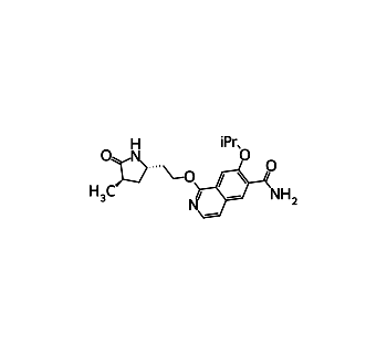 CC(C)Oc1cc2c(OCC[C@@H]3C[C@@H](C)C(=O)N3)nccc2cc1C(N)=O